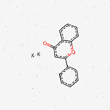 O=c1cc(-c2ccccc2)oc2ccccc12.[K].[K]